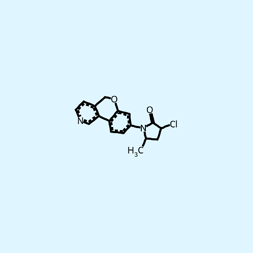 CC1CC(Cl)C(=O)N1c1ccc2c(c1)OCc1ccncc1-2